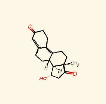 C[C@]12CCC3=C4CCC(=O)C=C4CC[C@H]3[C@@H]1[C@@H](O)CC2=O